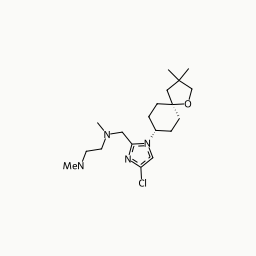 CNCCN(C)Cc1nc(Cl)cn1[C@H]1CC[C@]2(CC1)CC(C)(C)CO2